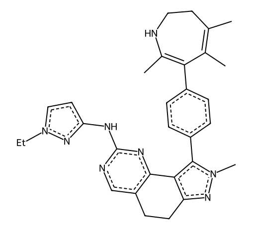 CCn1ccc(Nc2ncc3c(n2)-c2c(nn(C)c2-c2ccc(C4=C(C)NCCC(C)=C4C)cc2)CC3)n1